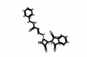 O=C(/C=C/C[C@H]1NC(=O)[C@@H]1N1C(=O)c2ccccc2C1=O)OCc1ccccc1